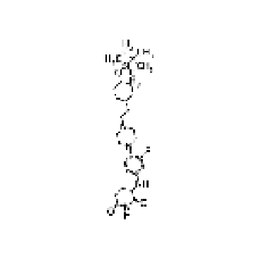 CC(C)(C)[Si](C)(C)OC1CCC(CCN2CCN(c3ccc(NC4CCC(=O)NC4=O)cc3F)CC2)CC1